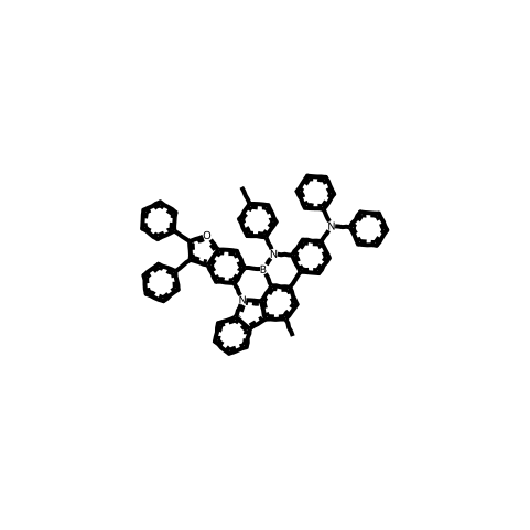 Cc1ccc(N2B3c4cc5oc(-c6ccccc6)c(-c6ccccc6)c5cc4-n4c5ccccc5c5c(C)cc(c3c54)-c3ccc(N(c4ccccc4)c4ccccc4)cc32)cc1